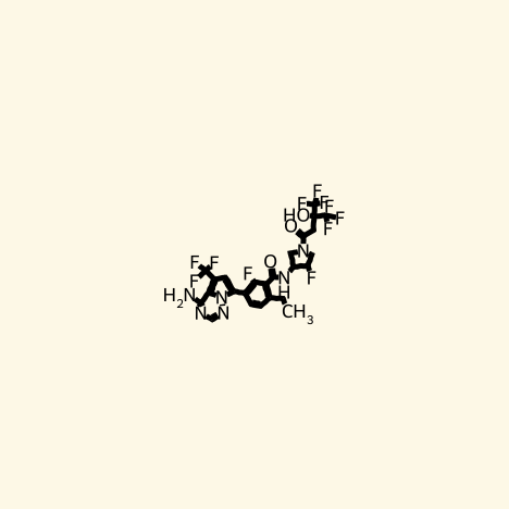 CCc1ccc(-c2cc(C(F)(F)F)c3c(N)ncnn23)c(F)c1C(=O)NC1CN(C(=O)CC(O)(C(F)(F)F)C(F)(F)F)CC1F